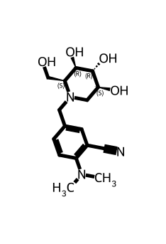 CN(C)c1ccc(CN2C[C@H](O)[C@@H](O)[C@H](O)[C@@H]2CO)cc1C#N